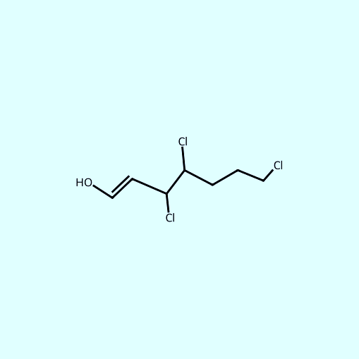 OC=CC(Cl)C(Cl)CCCCl